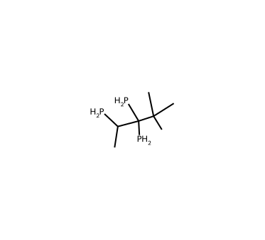 CC(P)C(P)(P)C(C)(C)C